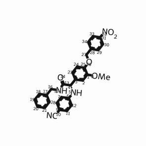 COc1cc([C@H](Nc2ccc(C#N)cc2)C(=O)NCc2ccccc2)ccc1OCc1ccc([N+](=O)[O-])cc1